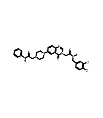 CN(Cc1ccc(Cl)c(Cl)c1)C(=O)Cn1cnc2ccc(N3CCN(CC(=O)Nc4ccccc4)CC3)cc2c1=O